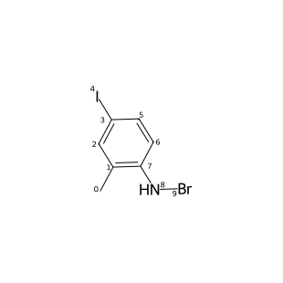 Cc1cc(I)ccc1NBr